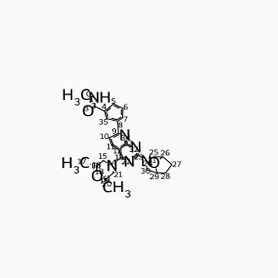 CNC(=O)c1cccc(-c2ccc3c(N4C[C@@H](C)O[C@@H](C)C4)nc(N4CC5CCC(C4)O5)nc3n2)c1